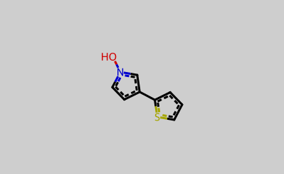 On1ccc(-c2cccs2)c1